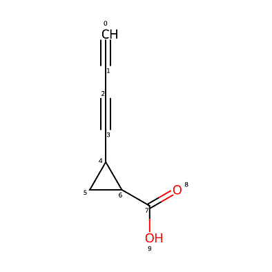 C#CC#CC1CC1C(=O)O